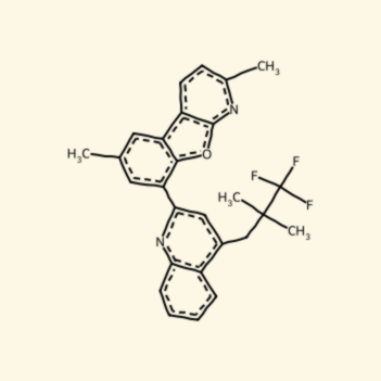 Cc1cc(-c2cc(CC(C)(C)C(F)(F)F)c3ccccc3n2)c2oc3nc(C)ccc3c2c1